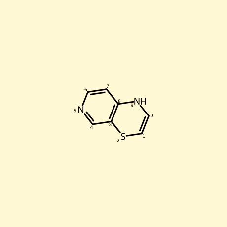 [C]1=CSc2cnccc2N1